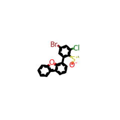 C[S+]([O-])c1c(Cl)cc(Br)cc1-c1cccc2c1oc1ccccc12